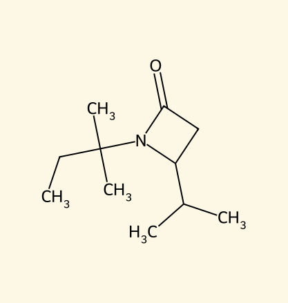 CCC(C)(C)N1C(=O)CC1C(C)C